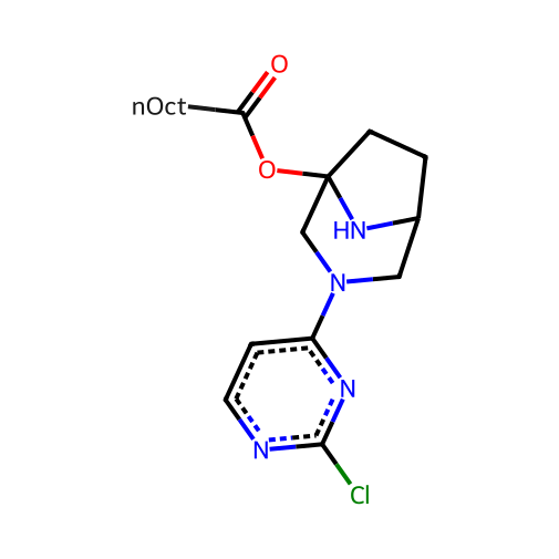 CCCCCCCCC(=O)OC12CCC(CN(c3ccnc(Cl)n3)C1)N2